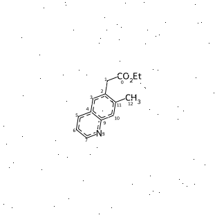 CCOC(=O)Cc1cc2cccnc2cc1C